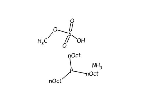 CCCCCCCCP(CCCCCCCC)CCCCCCCC.COS(=O)(=O)O.N